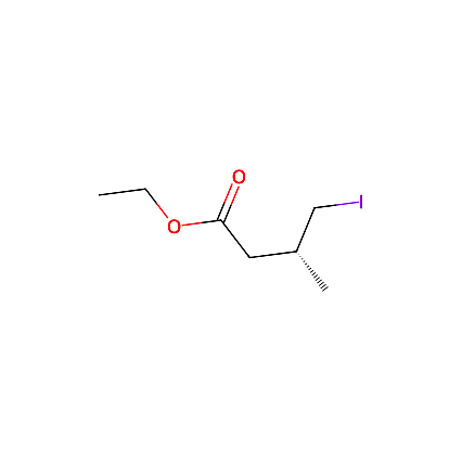 CCOC(=O)C[C@@H](C)CI